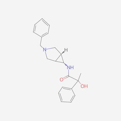 CC(O)(C(=O)N[C@H]1C2CN(Cc3ccccc3)C[C@@H]21)c1ccccc1